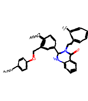 COc1ccc(C2Nc3ccccc3C(=O)N2Cc2ccccc2C(F)(F)F)cc1COc1ccc(NC(C)=O)cc1